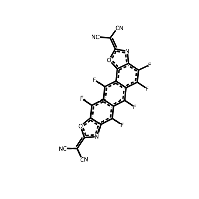 N#CC(C#N)=c1nc2c(F)c3c(F)c4c(F)c(F)c5nc(=C(C#N)C#N)oc5c4c(F)c3c(F)c2o1